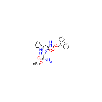 CCCCOC(=O)[C@H](N)CCNC(=O)[C@@H](Cc1c[nH]c2ccccc12)NC(=O)OCC1c2ccccc2-c2ccccc21